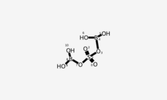 O=S(=O)(OB(O)O)OB(O)O